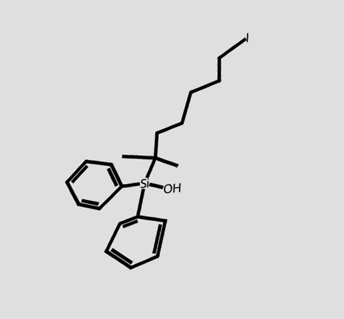 CC(C)(CCCCCI)[Si](O)(c1ccccc1)c1ccccc1